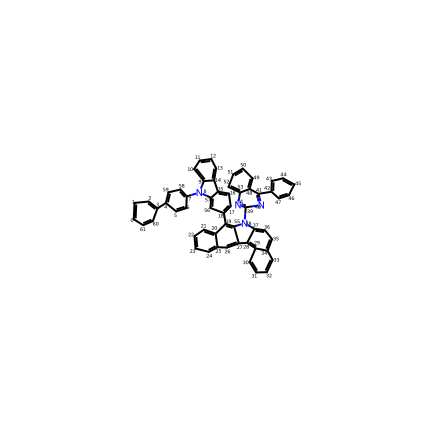 c1ccc(-c2ccc(-n3c4ccccc4c4ccc(-c5c6ccccc6cc6c7c8ccccc8ccc7n(-c7nc(-c8ccccc8)c8ccccc8n7)c56)cc43)cc2)cc1